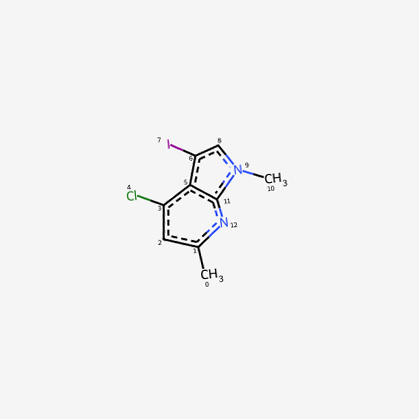 Cc1cc(Cl)c2c(I)cn(C)c2n1